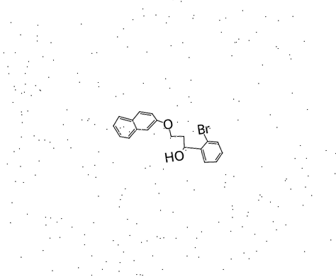 OC(CCOc1ccc2ccccc2c1)c1ccccc1Br